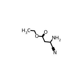 CCOC(=O)CC(N)C#N